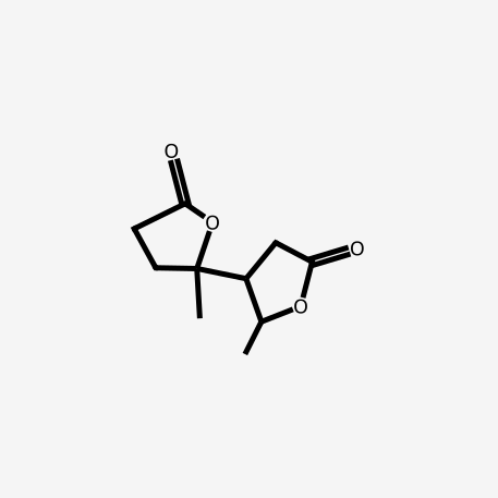 CC1OC(=O)CC1C1(C)CCC(=O)O1